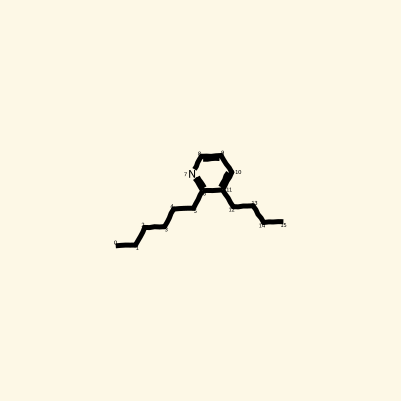 CCCCCCc1ncccc1CCCC